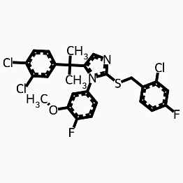 COc1cc(-n2c(C(C)(C)c3ccc(Cl)c(Cl)c3)cnc2SCc2ccc(F)cc2Cl)ccc1F